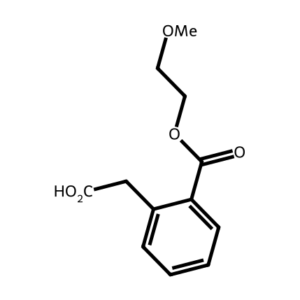 COCCOC(=O)c1ccccc1CC(=O)O